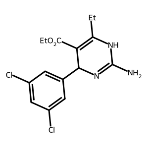 CCOC(=O)C1=C(CC)NC(N)=NC1c1cc(Cl)cc(Cl)c1